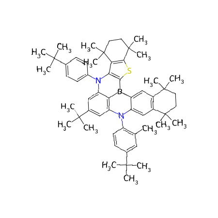 Cc1cc(C(C)(C)C)ccc1N1c2cc3c(cc2B2c4sc5c(c4N(c4ccc(C(C)(C)C)cc4)c4cc(C(C)(C)C)cc1c42)C(C)(C)CCC5(C)C)C(C)(C)CCC3(C)C